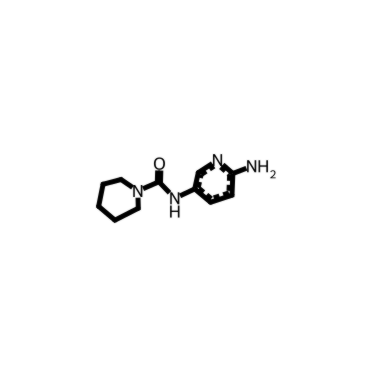 Nc1ccc(NC(=O)N2CCCCC2)cn1